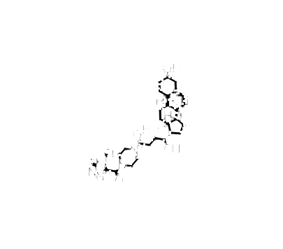 CC(CCC(=O)N1CCN(C(=O)c2nnnn2C)CC1)[C@H]1CC[C@H]2[C@@H]3CC=C4C[C@@H](O)CC[C@]4(C)[C@H]3CC[C@]12C